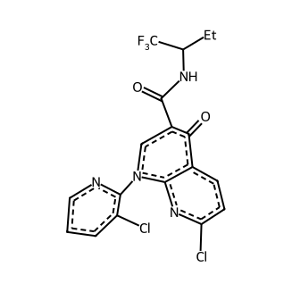 CCC(NC(=O)c1cn(-c2ncccc2Cl)c2nc(Cl)ccc2c1=O)C(F)(F)F